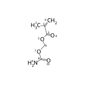 C=C(C)C(=O)OCOC(N)=O